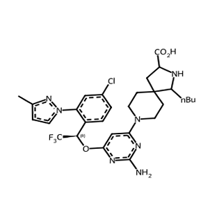 CCCCC1NC(C(=O)O)CC12CCN(c1cc(O[C@H](c3ccc(Cl)cc3-n3ccc(C)n3)C(F)(F)F)nc(N)n1)CC2